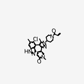 C=CC(=O)N1CCC(n2nc(-c3ccc(=O)n(C)c3)c(-c3c(Cl)c(C)cc4[nH]ncc34)c2C)CC1